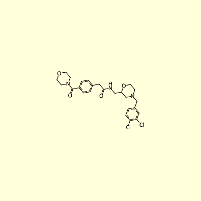 O=C(Cc1ccc(C(=O)N2CCOCC2)cc1)NCC1CN(Cc2ccc(Cl)c(Cl)c2)CCO1